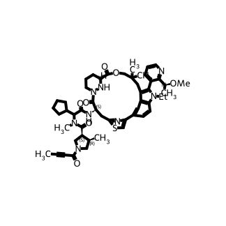 CC#CC(=O)N1C[C@H](C)[C@H](C(=O)N(C)C(C(=O)N[C@H]2Cc3nc(cs3)-c3ccc4c(c3)c(c(-c3cccnc3[C@H](C)OC)n4CC)CC(C)(C)COC(=O)[C@@H]3CCCN(N3)C2=O)C2CCCC2)C1